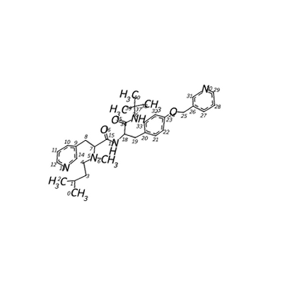 CC(C)CCN(C)C(Cc1cccnc1)C(=O)NC(Cc1ccc(OCc2cccnc2)cc1)C(=O)NC(C)(C)C